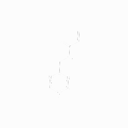 C=CC(=O)OCc1ncncn1